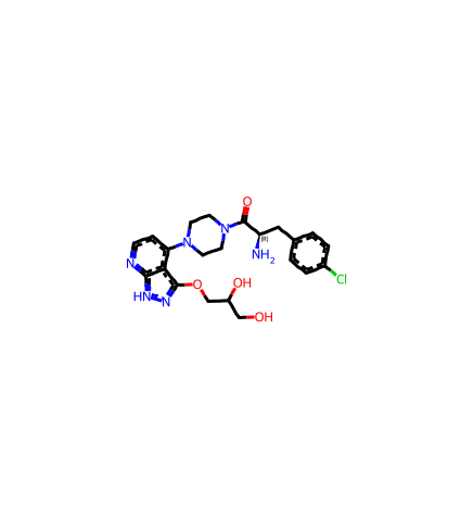 N[C@H](Cc1ccc(Cl)cc1)C(=O)N1CCN(c2ccnc3[nH]nc(OCC(O)CO)c23)CC1